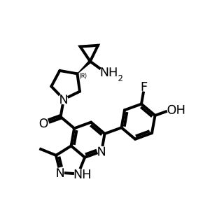 Cc1n[nH]c2nc(-c3ccc(O)c(F)c3)cc(C(=O)N3CC[C@@H](C4(N)CC4)C3)c12